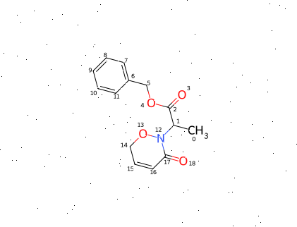 CC(C(=O)OCc1ccccc1)N1OCC=CC1=O